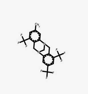 Cc1cc2c(c(C(F)(F)F)c1)CN1CN2Cc2c1cc(C(F)(F)F)cc2C(F)(F)F